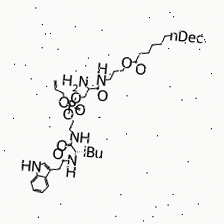 C=CCOP(=O)(OCCNC(=O)[C@@H](NC(=O)Cc1c[nH]c2ccccc12)[C@@H](C)CC)OCC(N)C(=O)NCCCOC(=O)CCCCCCCCCCCCCCC